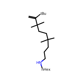 C=C(C(C)(C)C)C(C)(C)CCC(C)(C)CCCNCCCCCC